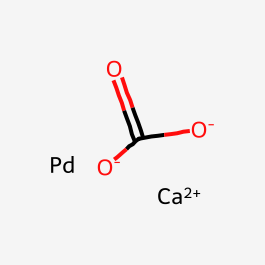 O=C([O-])[O-].[Ca+2].[Pd]